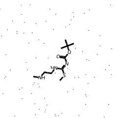 CNCCN/C(=N\C(=O)OC(C)(C)C)SC